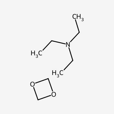 C1OCO1.CCN(CC)CC